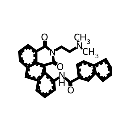 CN(C)CCN1C(=O)c2cccc3cc4cccc(NC(=O)c5ccc6ccccc6c5)c4c(c23)C1=O